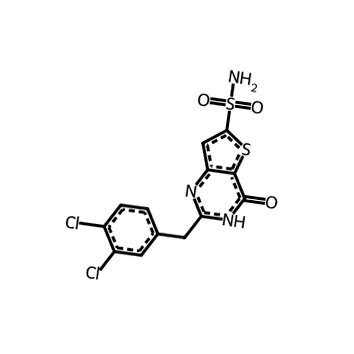 NS(=O)(=O)c1cc2nc(Cc3ccc(Cl)c(Cl)c3)[nH]c(=O)c2s1